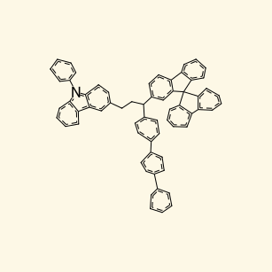 c1ccc(-c2ccc(-c3ccc(C(CCc4ccc5c(c4)c4ccccc4n5-c4ccccc4)c4ccc5c(c4)C4(c6ccccc6-c6ccccc64)c4ccccc4-5)cc3)cc2)cc1